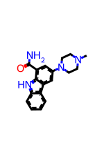 CN1CCN(c2cc(C(N)=O)c3[nH]c4ccccc4c3c2)CC1